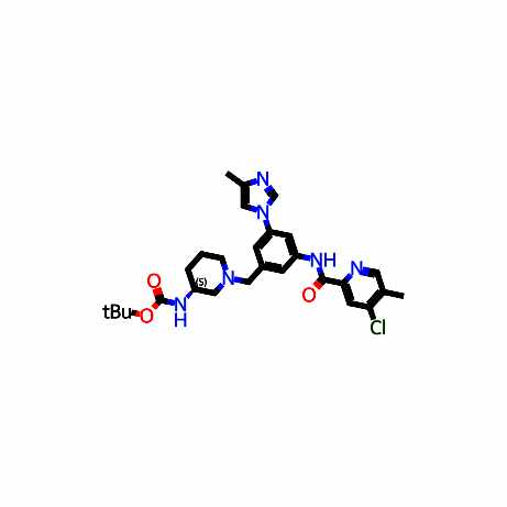 Cc1cn(-c2cc(CN3CCC[C@H](NC(=O)OC(C)(C)C)C3)cc(NC(=O)c3cc(Cl)c(C)cn3)c2)cn1